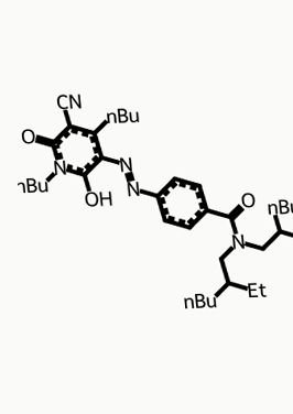 CCCCc1c(/N=N/c2ccc(C(=O)N(CC(CC)CCCC)CC(CC)CCCC)cc2)c(O)n(CCCC)c(=O)c1C#N